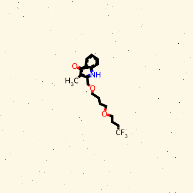 Cc1c(COCCCCOCCCC(F)(F)F)[nH]c2ccccc2c1=O